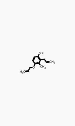 C=CCOc1ccc(CCC)c(CC=C)c1C